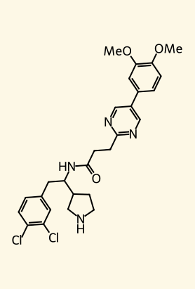 COc1ccc(-c2cnc(CCC(=O)NC(Cc3ccc(Cl)c(Cl)c3)C3CCNC3)nc2)cc1OC